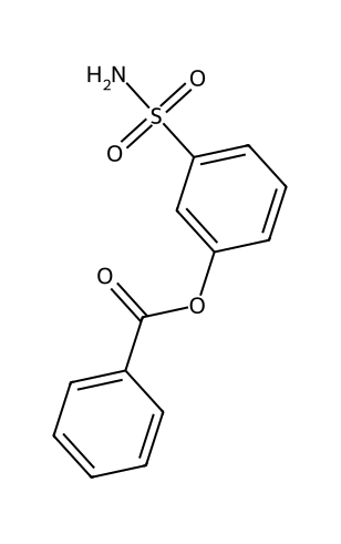 NS(=O)(=O)c1cccc(OC(=O)c2ccccc2)c1